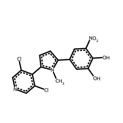 Cn1c(-c2cc(O)c(O)c([N+](=O)[O-])c2)ccc1-c1c(Cl)cncc1Cl